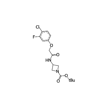 CC(C)(C)OC(=O)N1CC(NC(=O)COc2ccc(Cl)c(F)c2)C1